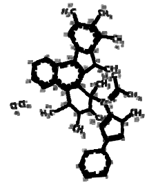 C[C](C)=[Zr+2]([C]1=CC(c2ccccc2)=CC1C)[C]1(C)c2c3c(c4ccccc4c2C(C)C(C)C1C)-c1cc(C)c(C)c(C)c1C3C.[Cl-].[Cl-]